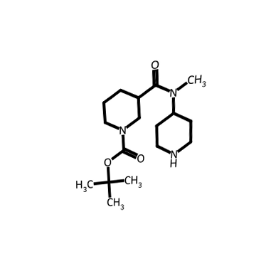 CN(C(=O)C1CCCN(C(=O)OC(C)(C)C)C1)C1CCNCC1